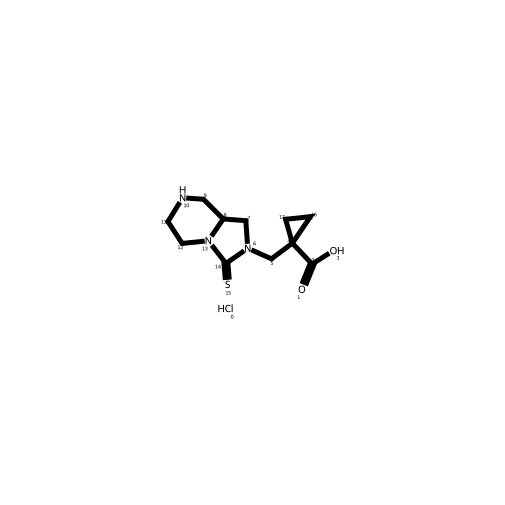 Cl.O=C(O)C1(CN2CC3CNCCN3C2=S)CC1